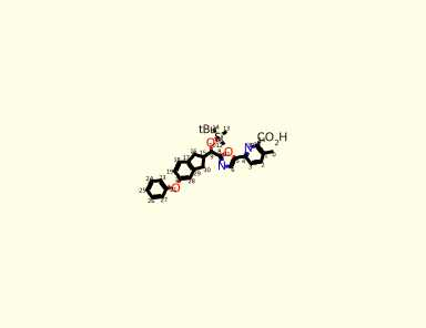 Cc1ccc(-c2cnc(C(O[Si](C)(C)C(C)(C)C)C3Cc4ccc(Oc5ccccc5)cc4C3)o2)nc1C(=O)O